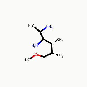 COC[C@@H](C)[C@@H](C)C(N)C(C)N